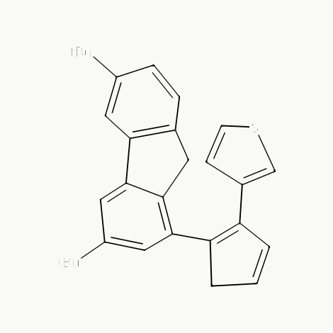 CC(C)(C)c1ccc2c(c1)-c1cc(C(C)(C)C)cc(C3=C(c4ccsc4)C=CC3)c1[CH]2